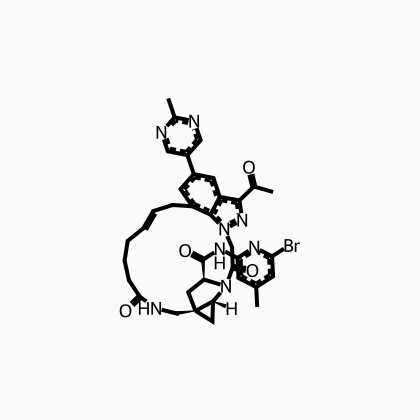 CC(=O)c1nn2c3c(cc(-c4cnc(C)nc4)cc13)C/C=C/CCCC(=O)NC[C@@]13C[C@@H](C(=O)Nc4cc(C)cc(Br)n4)N(C(=O)C2)[C@@H]1C3